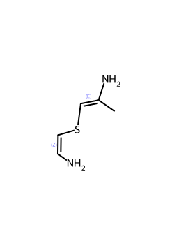 C/C(N)=C\S/C=C\N